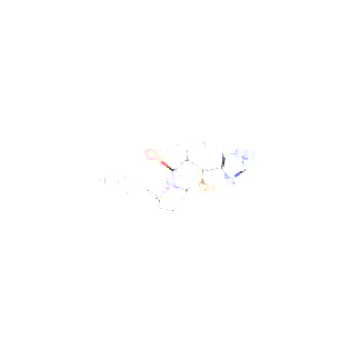 CC(C(=O)N1CCC[C@H]1C(=O)O)C(S)c1c[nH]cn1